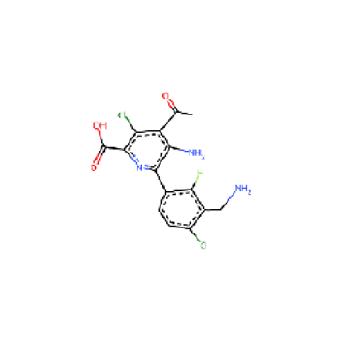 CC(=O)c1c(N)c(-c2ccc(Cl)c(CN)c2F)nc(C(=O)O)c1Cl